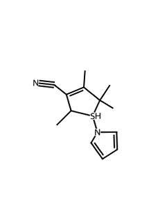 CC1=C(C#N)C(C)[SH](n2cccc2)C1(C)C